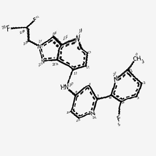 Cc1ccc(F)c(-c2cc(Nc3ccnc4cn(CC(F)F)nc34)ccn2)n1